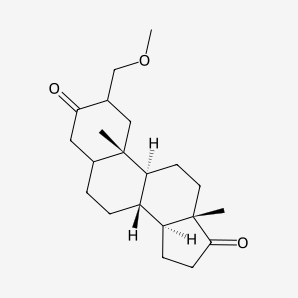 COCC1C[C@@]2(C)C(CC[C@@H]3[C@@H]2CC[C@]2(C)C(=O)CC[C@@H]32)CC1=O